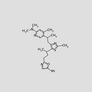 Cc1nc(CC(C)c2cnc(N(C)C)cc2C)c(C(C)CCc2ncc(C(C)C)o2)s1